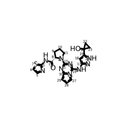 O=C(Nc1nccs1)[C@@H]1CCCN1c1nc(Nc2cc(C3(O)CC3)[nH]n2)n2cccc2n1